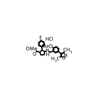 COC(=O)C1CCC(NCc2cc(-c3c(C)noc3C)ccc2OC)C1c1ccc(F)cc1.Cl